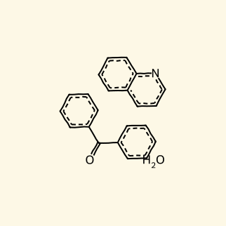 O.O=C(c1ccccc1)c1ccccc1.c1ccc2ncccc2c1